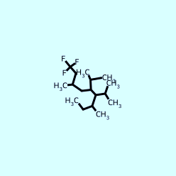 CCC(C)C(C(C)C)C(CC(C)CC(F)(F)F)C(C)C